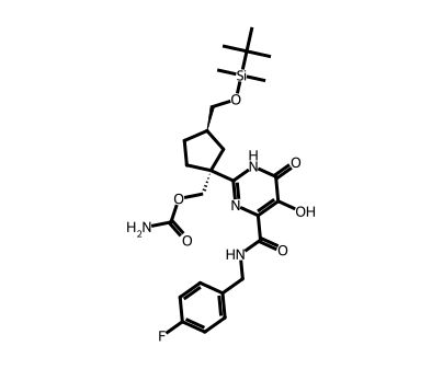 CC(C)(C)[Si](C)(C)OC[C@@H]1CC[C@](COC(N)=O)(c2nc(C(=O)NCc3ccc(F)cc3)c(O)c(=O)[nH]2)C1